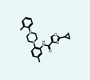 Cc1ccc(N2CCN(c3ccccc3C)CC2)c(NC(=O)c2coc(C3CC3)n2)c1